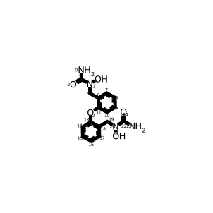 NC(=O)N(O)Cc1ccccc1Oc1ccccc1CN(O)C(N)=O